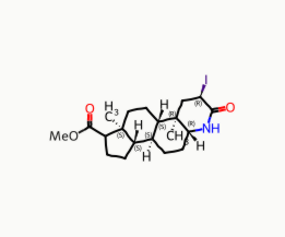 COC(=O)C1CC[C@H]2[C@@H]3CC[C@H]4NC(=O)[C@H](I)C[C@]4(C)[C@H]3CC[C@]12C